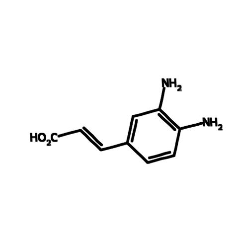 Nc1ccc(C=CC(=O)O)cc1N